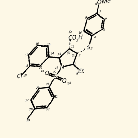 CCC1[C@@H](Sc2ccc(OC)cc2)[C@@H](C(=O)O)C(c2cccc(Cl)c2)N1S(=O)(=O)c1ccc(C)cc1